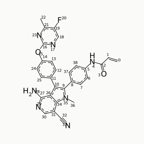 C=CC(=O)Nc1ccc(-c2c(-c3ccc(Oc4ncc(F)c(C)n4)cc3)c3c(N)ncc(C#N)c3n2C)cc1